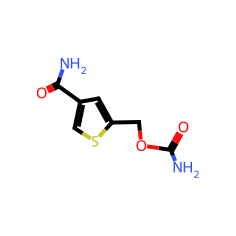 NC(=O)OCc1cc(C(N)=O)cs1